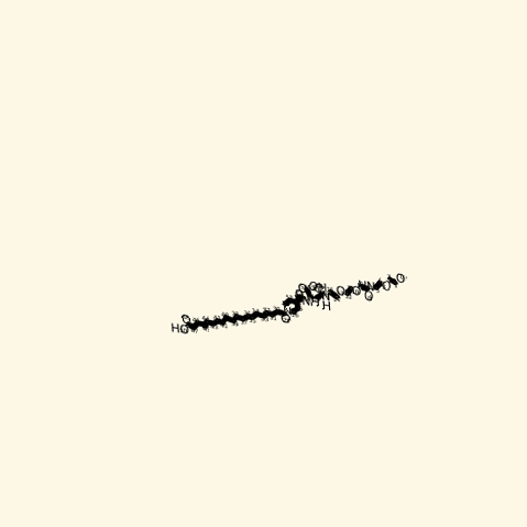 [O]CCOCCNC(=O)COCCOCCNC(=O)C[C@@H](NC(=O)C1CCN(C(=O)CCCCCCCCCCCCCCCCCCC(=O)O)CC1)C(=O)O